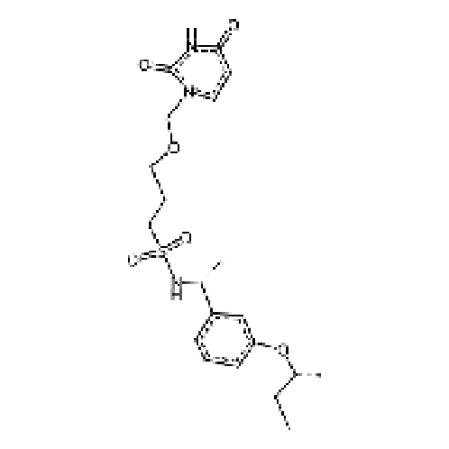 CC[C@@H](C)Oc1cccc([C@@H](C)NS(=O)(=O)CCCOCn2ccc(=O)[nH]c2=O)c1